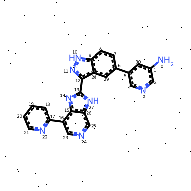 Nc1cncc(-c2ccc3[nH]nc(-c4nc5c(-c6ccccn6)cncc5[nH]4)c3c2)c1